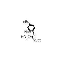 CCCCCCCCC(Oc1ccc(CCCC)cc1)C(=O)O.[NaH]